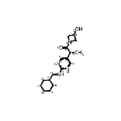 C[C@H](C(=O)N1CC(O)C1)c1cnc(NCC2CCCCC2)nc1